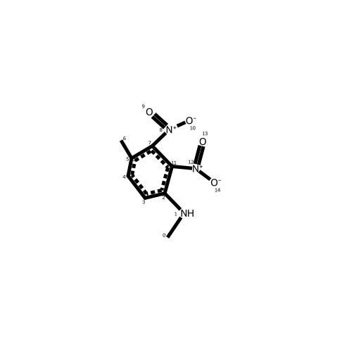 CNc1ccc(C)c([N+](=O)[O-])c1[N+](=O)[O-]